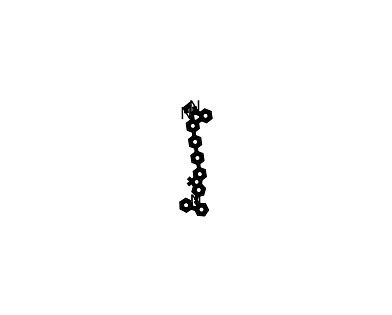 CC1(C)c2cc(-c3ccc(-c4ccc(-c5ccc6c(c5)c5ccccc5c5nccnc65)cc4)cc3)ccc2-c2ccc(-n3c4ccccc4c4ccccc43)cc21